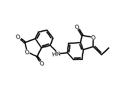 CC=C1OC(=O)c2cc(Nc3cccc4c3C(=O)OC4=O)ccc21